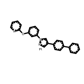 [Pt].c1ccc(-c2ccc(-c3cnn(-c4cccc(Oc5ccccn5)c4)c3)cc2)cc1